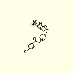 CC1(CN2CCN(CC(=O)c3ccc(Cl)cc3)CC2)Cn2cc([N+](=O)[O-])nc2O1